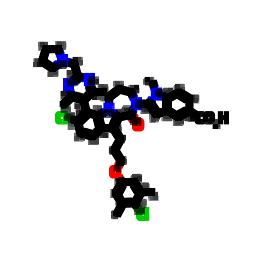 Cc1cc(OCCCc2c3n(c4c(-c5c(C)nc(CN6CCCC6)nc5C)c(Cl)ccc24)CCCN(c2cc4cc(C(=O)O)ccc4n2C)C3=O)cc(C)c1Cl